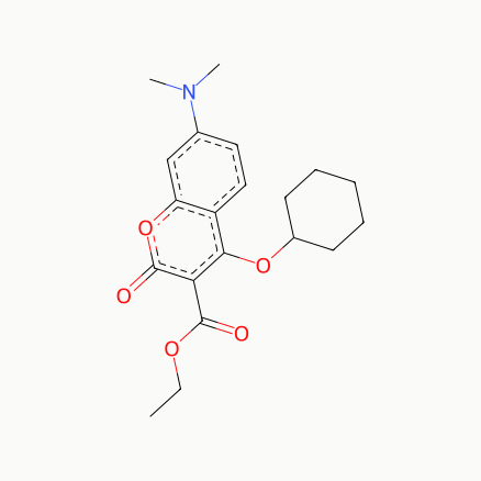 CCOC(=O)c1c(OC2CCCCC2)c2ccc(N(C)C)cc2oc1=O